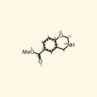 COC(=O)c1ccc2c(c1)CNCO2